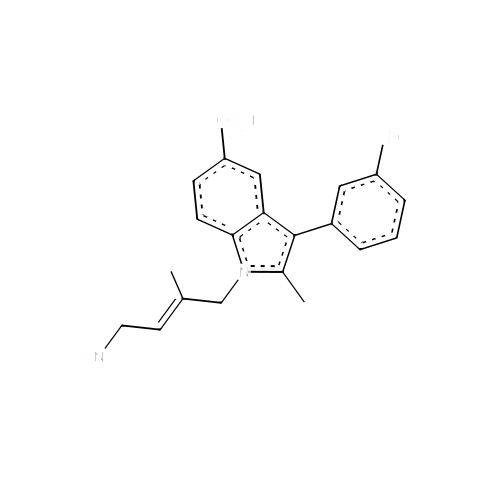 Cc1c(-c2cccc(C(C)(C)C)c2)c2cc(C(=O)O)ccc2n1CC(F)=CCN